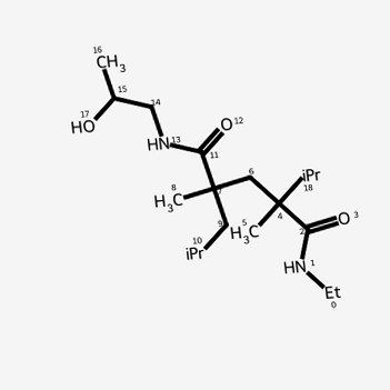 CCNC(=O)C(C)(CC(C)(CC(C)C)C(=O)NCC(C)O)C(C)C